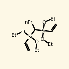 C=C[Si](OCC)(OCC)C(CCC)[Si](C=C)(OCC)OCC